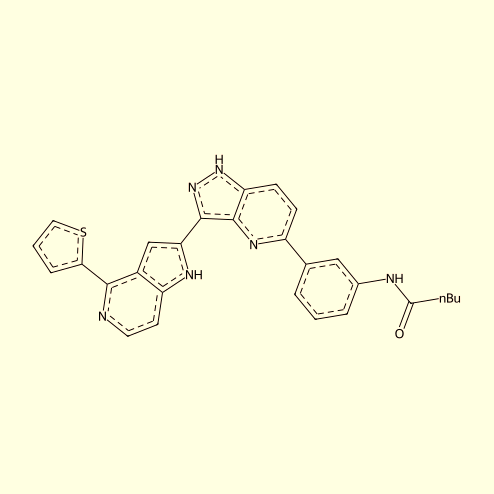 CCCCC(=O)Nc1cccc(-c2ccc3[nH]nc(-c4cc5c(-c6cccs6)nccc5[nH]4)c3n2)c1